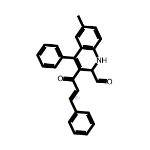 Cc1ccc2c(c1)C(c1ccccc1)=C(C(=O)/C=C/c1ccccc1)C(C=O)N2